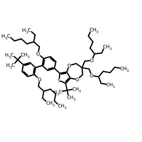 CCCCC(CC)COc1ccc(-c2sc(C(C)(C)C)c3c2OCC(COC(CC)CCCC)(COC(CC)CCCC)CO3)cc1-c1cc(C(C)(C)C)ccc1OCC(CC)CCCC